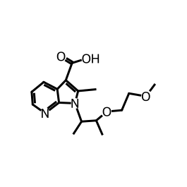 COCCOC(C)C(C)n1c(C)c(C(=O)O)c2cccnc21